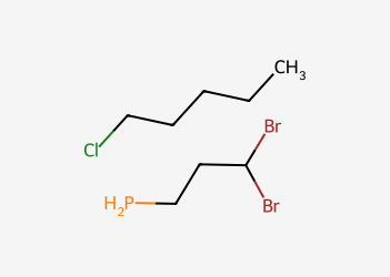 CCCCCCl.PCCC(Br)Br